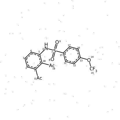 CC(=O)c1cccc(NS(=O)(=O)c2ccc(OC(F)(F)F)cc2)c1C(C)=O